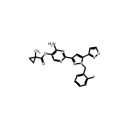 CC1(C(=O)Oc2cnc(-c3cc(-c4ccon4)n(Cc4ccccc4F)n3)nc2N)CC1